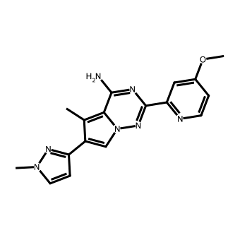 COc1ccnc(-c2nc(N)c3c(C)c(-c4ccn(C)n4)cn3n2)c1